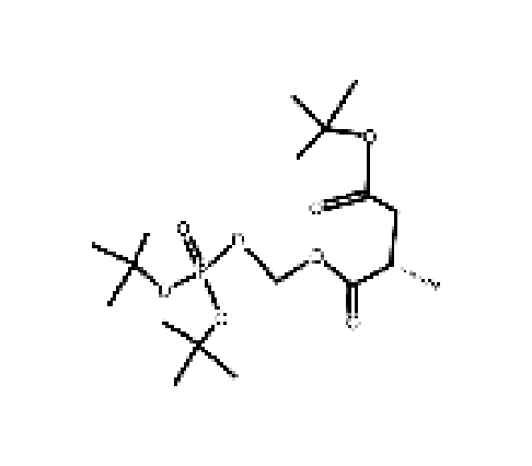 C[C@@H](CC(=O)OC(C)(C)C)C(=O)OCOP(=O)(OC(C)(C)C)OC(C)(C)C